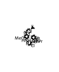 COc1cc(P2(=O)CCN(C3CC3)CC2)ccc1Nc1ncc(Cl)c(Nc2ccccc2S(=O)(=O)C(C)C)n1